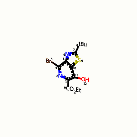 CCOC(=O)c1nc(Br)c2nc(C(C)(C)C)sc2c1O